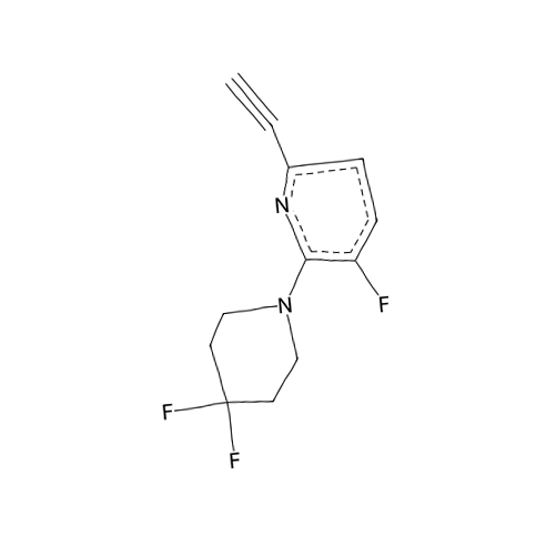 C#Cc1ccc(F)c(N2CCC(F)(F)CC2)n1